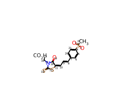 CS(=O)(=O)c1ccc(C=CC=C2SC(=S)N(CC(=O)O)C2=O)cc1